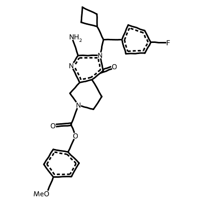 COc1ccc(OC(=O)N2CCc3c(nc(N)n(C(c4ccc(F)cc4)C4CCC4)c3=O)C2)cc1